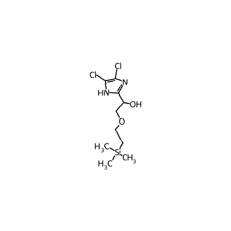 C[Si](C)(C)CCOCC(O)c1nc(Cl)c(Cl)[nH]1